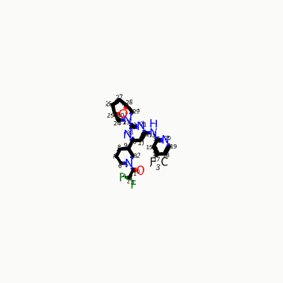 O=C(C(F)F)N1CCCC(c2cc(Nc3cc(C(F)(F)F)ccn3)nc(N3CC4CCC(C3)O4)n2)C1